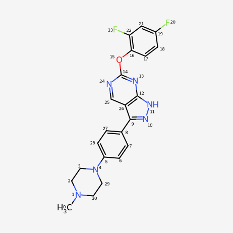 CN1CCN(c2ccc(-c3n[nH]c4nc(Oc5ccc(F)cc5F)ncc34)cc2)CC1